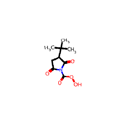 CC(C)(C)C1CC(=O)N(C(=O)OO)C1=O